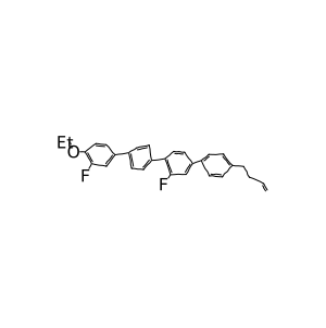 C=CCCc1ccc(-c2ccc(-c3ccc(-c4ccc(OCC)c(F)c4)cc3)c(F)c2)cc1